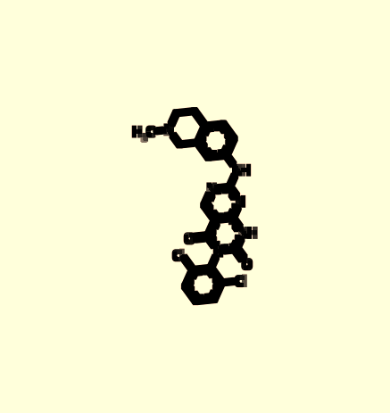 CN1CCc2ccc(Nc3ncc4c(=O)n(-c5c(Cl)cccc5Cl)c(=O)[nH]c4n3)cc2C1